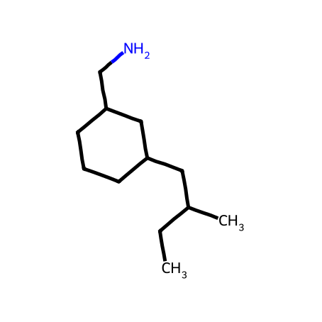 CCC(C)CC1CCCC(CN)C1